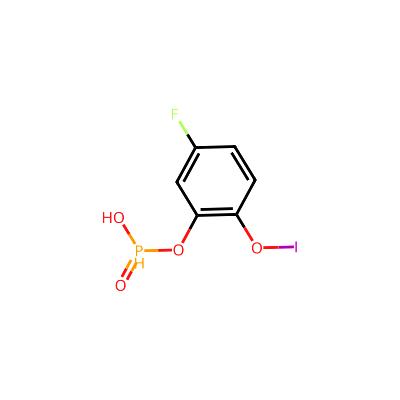 O=[PH](O)Oc1cc(F)ccc1OI